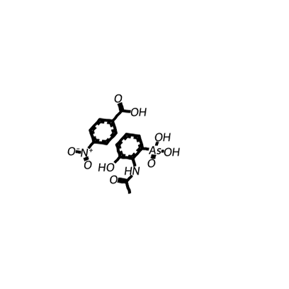 CC(=O)Nc1c(O)cccc1[As](=O)(O)O.O=C(O)c1ccc([N+](=O)[O-])cc1